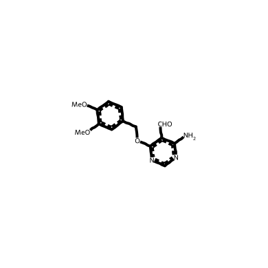 COc1ccc(COc2ncnc(N)c2C=O)cc1OC